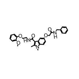 COc1ccccc1OCCNC(=O)c1c(C)n(C)c2ccc(OCC(=O)NCc3ccccc3)cc12